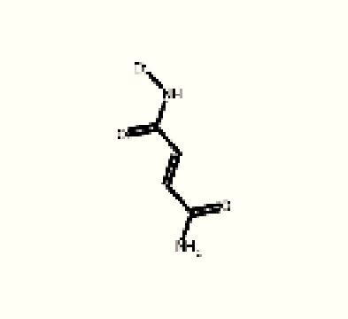 CCNC(=O)C=CC(N)=O